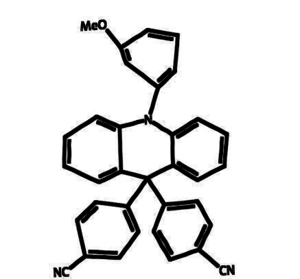 COc1cccc(N2c3ccccc3C(c3ccc(C#N)cc3)(c3ccc(C#N)cc3)c3ccccc32)c1